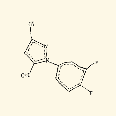 N#Cc1cc(C=O)n(-c2ccc(F)c(F)c2)n1